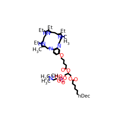 CCCCCCCCCCCCCCCC(=O)OCC(COP(=O)(O)OCC[N+](C)(C)C)OC(=O)CCCCOc1ccc2c(c1)/N=C/c1[nH]c(c(CC)c1C)Cc1[nH]c(c(CC)c1CC)Cc1[nH]c(c(C)c1CC)/C=N/2